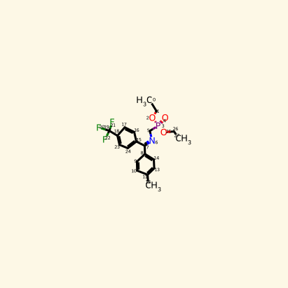 CCOP(=O)(C/N=C(/c1ccc(C)cc1)c1ccc(C(F)(F)F)cc1)OCC